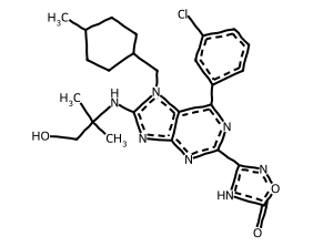 CC1CCC(Cn2c(NC(C)(C)CO)nc3nc(-c4noc(=O)[nH]4)nc(-c4cccc(Cl)c4)c32)CC1